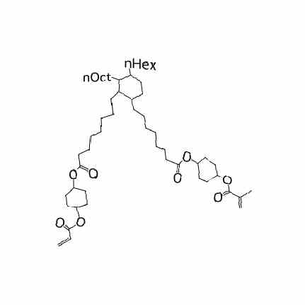 C=CC(=O)OC1CCC(OC(=O)CCCCCCCC2C(CCCCCCCC(=O)OC3CCC(OC(=O)C(=C)C)CC3)CCC(CCCCCC)C2CCCCCCCC)CC1